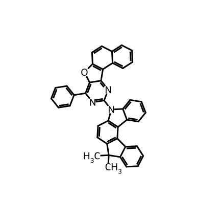 CC1(C)c2ccccc2-c2c1ccc1c2c2ccccc2n1-c1nc(-c2ccccc2)c2oc3ccc4ccccc4c3c2n1